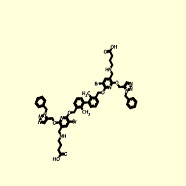 Cc1c(COc2nc(OCc3cnnn3Cc3ccccc3)c(CNCCCC(=O)O)cc2Br)cccc1-c1cccc(COc2nc(OCc3cnnn3Cc3ccccc3)c(CNCCCC(=O)O)cc2Br)c1C